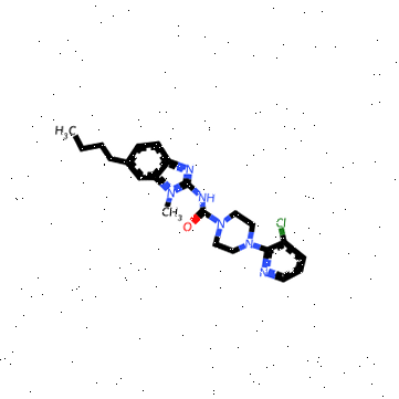 CCCCc1ccc2nc(NC(=O)N3CCN(c4ncccc4Cl)CC3)n(C)c2c1